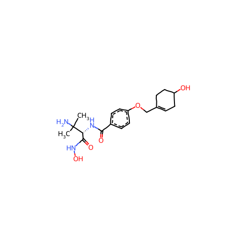 CC(C)(N)[C@H](NC(=O)c1ccc(OCC2=CCC(O)CC2)cc1)C(=O)NO